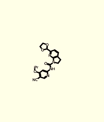 CC(C)Oc1cc(NC(=O)N2CCc3ccc(C4OCCO4)nc32)ncc1C#N